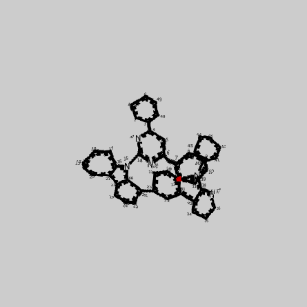 c1ccc(-c2cc(-c3ccccc3)nc(-n3c4ccccc4c4cccc(-c5ccc6c(c5)c5cccnc5n6-c5ccccc5)c43)n2)cc1